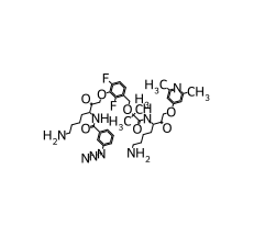 Cc1cc(OCC(=O)C(CCCCN)NC(=O)C(C)(C)OCc2ccc(F)c(OCC(=O)C(CCCCN)NC(=O)c3cccc(N=[N+]=[N-])c3)c2F)cc(C)n1